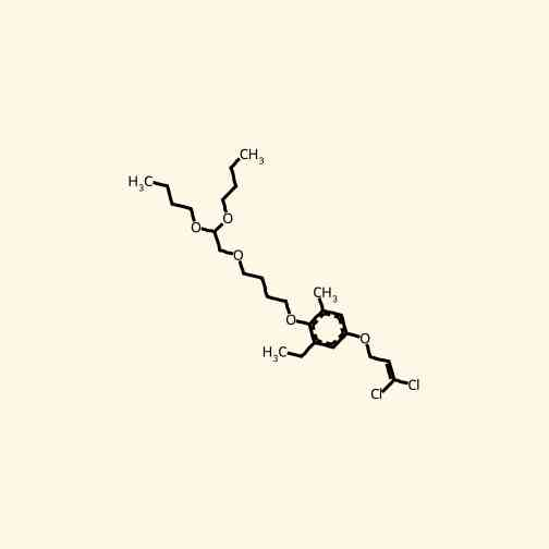 CCCCOC(COCCCCOc1c(C)cc(OCC=C(Cl)Cl)cc1CC)OCCCC